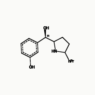 CCCC1CCC([C@H](O)c2cccc(O)c2)N1